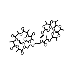 C=COC(=O)OC(C)C(=O)OC(C)C(=O)OC(C)C(=O)OC(C)C(=O)OC(C)C(=O)OCCOCCOC(=O)C(C)OC(=O)C(C)OC(=O)C(C)OC(=O)C(C)OC(=O)C(C)OC(=O)OC=C